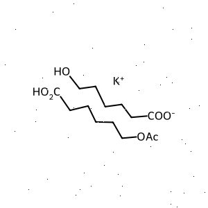 CC(=O)OCCCCCC(=O)O.O=C([O-])CCCCCO.[K+]